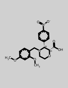 COc1ccc(CN2CCO[C@@H](C(=O)O)[C@H]2c2ccc([N+](=O)[O-])cc2)c(OC)c1